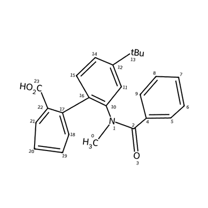 CN(C(=O)c1ccccc1)c1cc(C(C)(C)C)ccc1-c1ccccc1C(=O)O